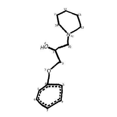 OC(COc1ccccc1)CN1CCCCC1